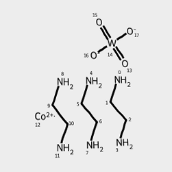 NCCN.NCCN.NCCN.[Co+2].[O]=[W](=[O])([O-])[O-]